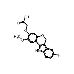 COc1cc2c(cc1OCC(=O)O)OCc1c-2[nH]c2ccc(F)cc12